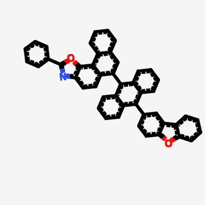 c1ccc(-c2nc3ccc4c(-c5c6ccccc6c(-c6ccc7oc8ccccc8c7c6)c6ccccc56)cc5ccccc5c4c3o2)cc1